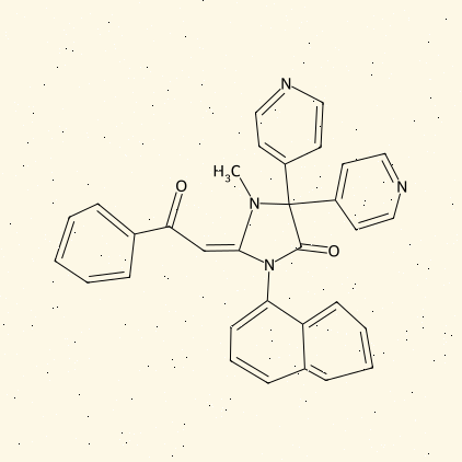 CN1C(=CC(=O)c2ccccc2)N(c2cccc3ccccc23)C(=O)C1(c1ccncc1)c1ccncc1